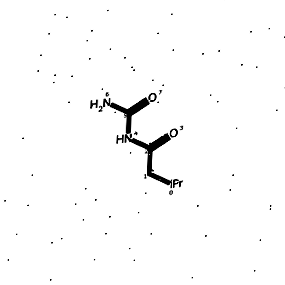 CC(C)CC(=O)NC(N)=O